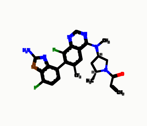 C=CC(=O)N1C[C@H](N(C)c2ncnc3c(F)c(-c4ccc(F)c5sc(N)nc45)c(C(F)(F)F)cc23)C[C@H]1C